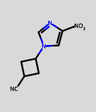 N#CC1CC(n2cnc([N+](=O)[O-])c2)C1